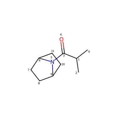 CC(C)C(=O)N1C2CCC1CC2